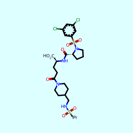 CC(C)S(=O)(=O)NCC1CCN(C(=O)CC[C@H](NC(=O)[C@H]2CCCN2S(=O)(=O)c2cc(Cl)cc(Cl)c2)C(=O)O)CC1